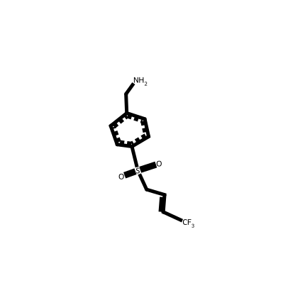 NCc1ccc(S(=O)(=O)CC=CC(F)(F)F)cc1